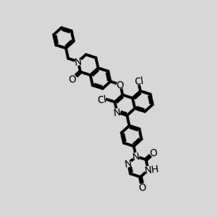 O=C1c2ccc(Oc3c(Cl)nc(-c4ccc(-n5ncc(=O)[nH]c5=O)cc4)c4cccc(Cl)c34)cc2CCN1Cc1ccccc1